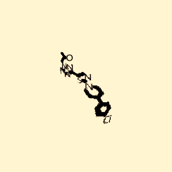 CC(=O)Cn1nnc(-c2cnc(N3CCC(c4ccc(Cl)cc4)CC3)s2)n1